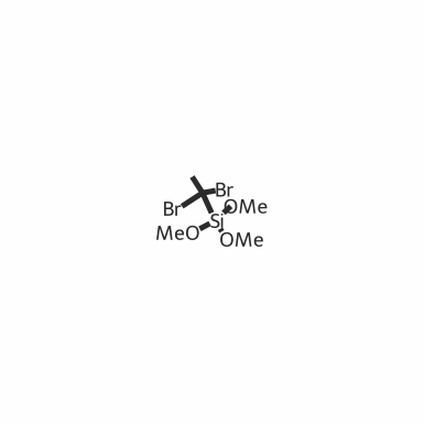 CO[Si](OC)(OC)C(C)(Br)Br